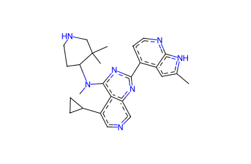 Cc1cc2c(-c3nc(N(C)C4CCNCC4(C)C)c4c(C5CC5)cncc4n3)ccnc2[nH]1